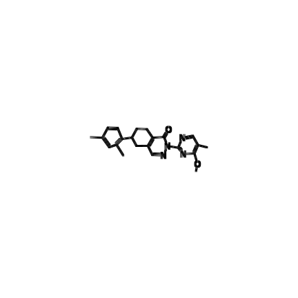 COc1nc(-n2ncc3c(c2=O)CCC(c2ccc(C)cc2C)C3)ncc1C